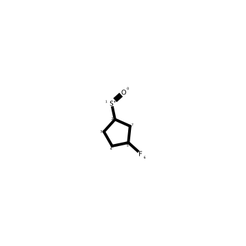 O=[S+]C1CCC(F)C1